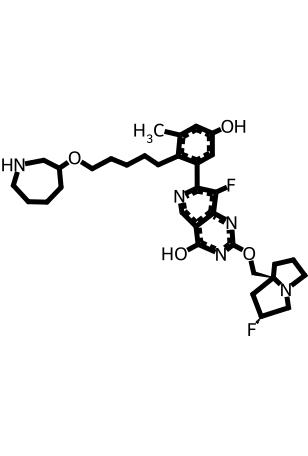 Cc1cc(O)cc(-c2ncc3c(O)nc(OC[C@@]45CCCN4C[C@H](F)C5)nc3c2F)c1CCCCCOC1CCCCNC1